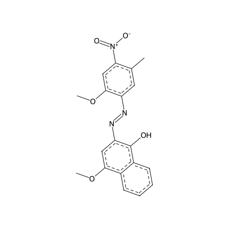 COc1cc([N+](=O)[O-])c(C)cc1N=Nc1cc(OC)c2ccccc2c1O